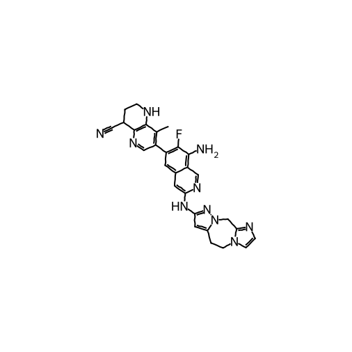 Cc1c(-c2cc3cc(Nc4cc5n(n4)Cc4nccn4CC5)ncc3c(N)c2F)cnc2c1NCCC2C#N